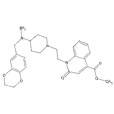 BN(Cc1ccc2c(c1)OCCO2)C1CCN(CCn2c(=O)cc(C(=O)OC)c3ccccc32)CC1